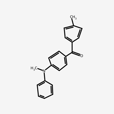 Cc1ccc(C(=O)c2ccc(N(C)c3ccccc3)cc2)cc1